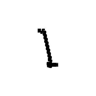 CCCCCCCCCCCCCCCCOC[C@@H]1OCC[C@@H]1O